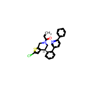 C=CC(=O)N1Cc2sc(Cl)cc2[C@H](c2ccccc2-c2ccc(-c3ccccc3)nc2)C1